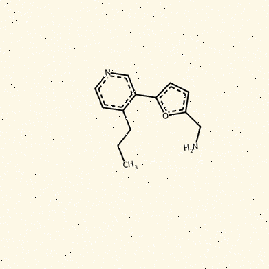 CCCc1ccncc1-c1ccc(CN)o1